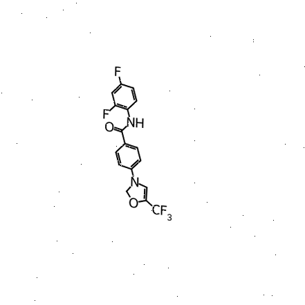 O=C(Nc1ccc(F)cc1F)c1ccc(N2C=C(C(F)(F)F)OC2)cc1